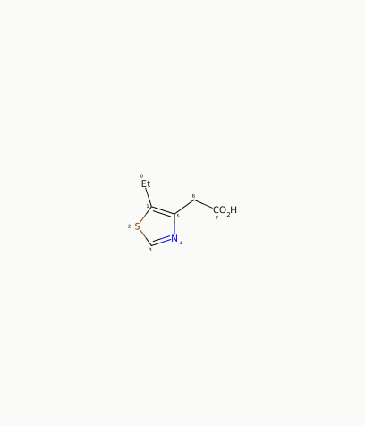 CCc1scnc1CC(=O)O